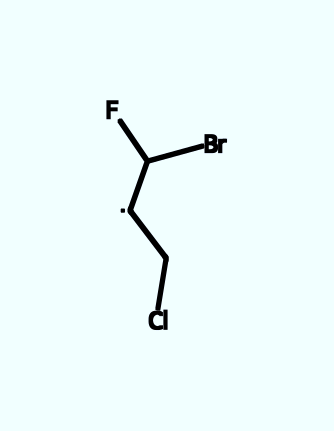 FC(Br)[CH]CCl